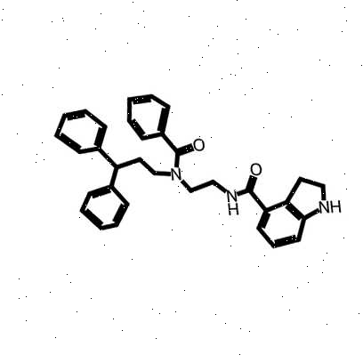 O=C(NCCN(CCC(c1ccccc1)c1ccccc1)C(=O)c1ccccc1)c1cccc2c1CCN2